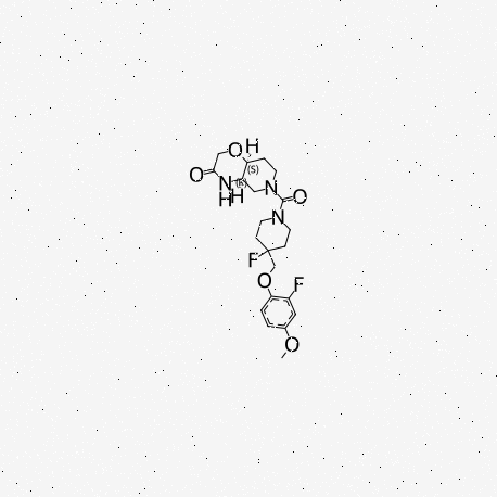 COc1ccc(OCC2(F)CCN(C(=O)N3CC[C@@H]4OCC(=O)N[C@@H]4C3)CC2)c(F)c1